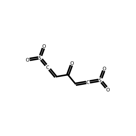 O=C(C=C=S(=O)=O)C=C=S(=O)=O